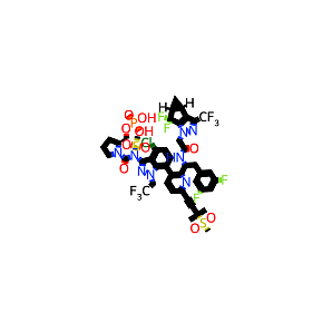 CC(C)(C#Cc1ccc(-c2ccc(Cl)c3c(N(C(=O)N4CCC[C@H]4COP(=O)(O)O)S(C)(=O)=O)nn(CC(F)(F)F)c23)c(C(Cc2cc(F)cc(F)c2)NC(=O)Cn2nc(C(F)(F)F)c3c2C(F)(F)[C@@H]2C[C@H]32)n1)S(C)(=O)=O